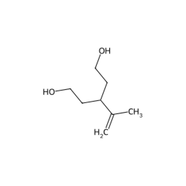 C=C(C)C(CCO)CCO